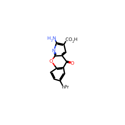 CCCc1ccc2oc3nc(N)c(C(=O)O)cc3c(=O)c2c1